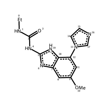 CCNC(=O)Nc1nc2cc(OC)cc(-n3ccnc3)c2[nH]1